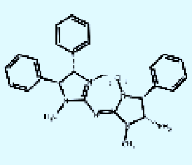 CN1C(/N=C2/N(C)[C@@H](P)[C@H](c3ccccc3)N2C)=[N+](C)[C@@H](c2ccccc2)[C@@H]1c1ccccc1